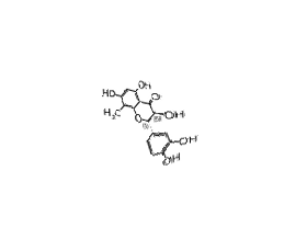 Cc1c(O)cc(O)c2c1O[C@@H](c1ccc(O)c(O)c1)[C@H](O)C2=O